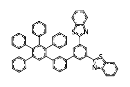 c1ccc(-c2cc(-c3cccc(-c4cc(-c5nc6ccccc6s5)cc(-c5nc6ccccc6s5)c4)c3)c(-c3ccccc3)c(-c3ccccc3)c2-c2ccccc2)cc1